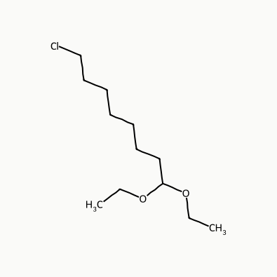 CCOC(CCCCCCCCl)OCC